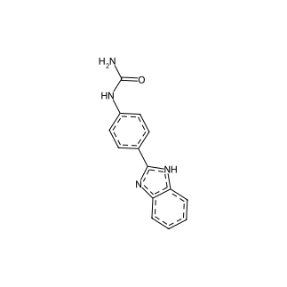 NC(=O)Nc1ccc(-c2nc3ccccc3[nH]2)cc1